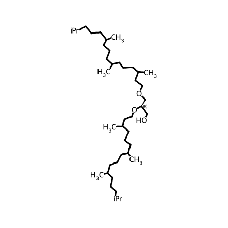 CC(C)CCCC(C)CCCC(C)CCCC(C)CCOC[C@@H](CO)OCCC(C)CCCC(C)CCCC(C)CCCC(C)C